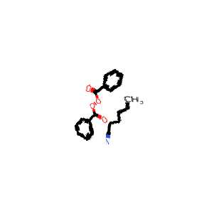 CCCCCC#N.O=C(OOC(=O)c1ccccc1)c1ccccc1